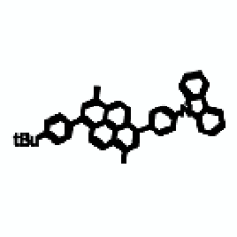 Cc1cc(-c2ccc(-n3c4ccccc4c4ccccc43)cc2)c2ccc3c(C)cc(-c4ccc(C(C)(C)C)cc4)c4ccc1c2c34